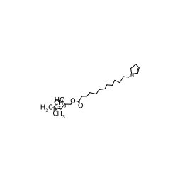 C[N+](C)(C)CC(O)COC(=O)CCCCCCCCCCCC[C@H]1C=CCC1